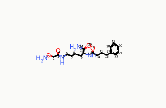 NOCC(=O)NCCCCC(NC(=O)CCCc1ccccc1)C(N)=O